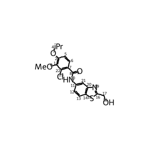 COc1c(OC(C)C)ccc(C(=O)Nc2ccc3sc(CO)nc3c2)c1Cl